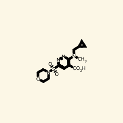 CN(CC1CC1)c1nnc(S(=O)(=O)N2CCOCC2)cc1C(=O)O